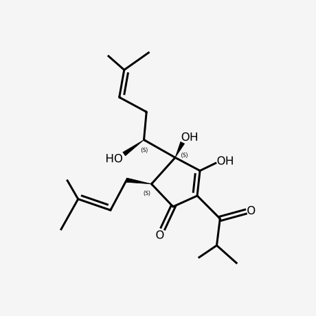 CC(C)=CC[C@@H]1C(=O)C(C(=O)C(C)C)=C(O)[C@@]1(O)[C@@H](O)CC=C(C)C